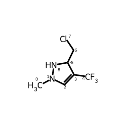 CN1C=C(C(F)(F)F)[C](CCl)N1